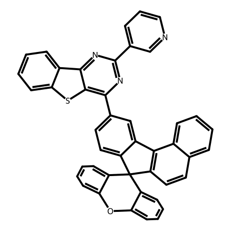 c1cncc(-c2nc(-c3ccc4c(c3)-c3c(ccc5ccccc35)C43c4ccccc4Oc4ccccc43)c3sc4ccccc4c3n2)c1